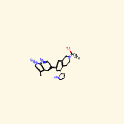 COC(=O)N1CCc2c(cc(-c3cnc4[nH]cc(C)c4c3)cc2[C@@H]2CCCN2)C1